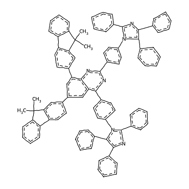 CC1(C)c2ccccc2-c2ccc(-c3cc(-c4ccc5c(c4)C(C)(C)c4ccccc4-5)c4nc(-c5ccc(-n6c(-c7ccccc7)nc(-c7ccccc7)c6-c6ccccc6)cc5)nc(-c5ccc(-n6c(-c7ccccc7)nc(-c7ccccc7)c6-c6ccccc6)cc5)c4c3)cc21